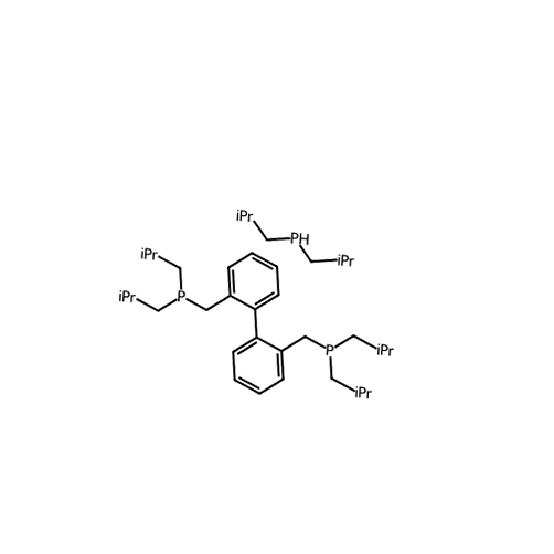 CC(C)CP(Cc1ccccc1-c1ccccc1CP(CC(C)C)CC(C)C)CC(C)C.CC(C)CPCC(C)C